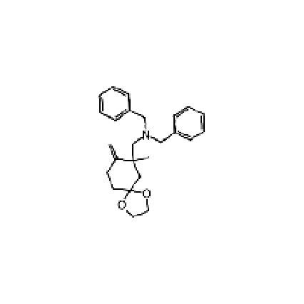 C=C1CCC2(CC1(C)CN(Cc1ccccc1)Cc1ccccc1)OCCO2